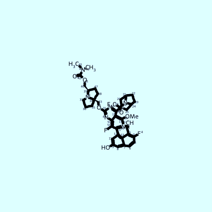 C#Cc1c(F)ccc2cc(O)cc(-c3nc(OC)c4c(N5CC6CCC(C5)N6C(=O)C(F)(F)F)nc(OC[C@@]56CCCN5[C@@H](COC(=O)N(C)C)CC6)nc4c3F)c12